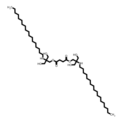 CCCCCCCCCCCCCCCCCCNC(CO)(CO)COC(=O)CCC(=O)OCC(CO)(CO)NCCCCCCCCCCCCCCCCCC